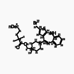 CCCCCCCCCCCCC(C)(C)C(=O)OC[N+]1(C)CCN(C2=Nc3ccccc3Nc3sc(C)cc32)CC1.[Br-]